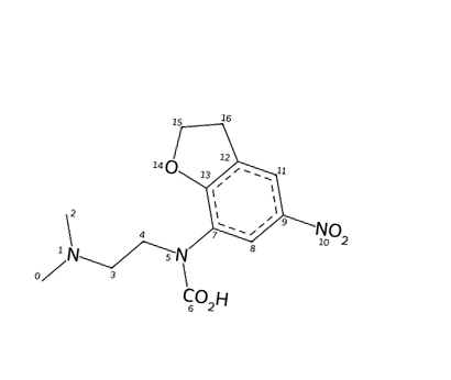 CN(C)CCN(C(=O)O)c1cc([N+](=O)[O-])cc2c1OCC2